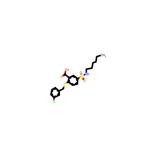 CCCCCCNS(=O)(=O)c1ccc(SCc2cccc(Cl)c2)c(C(=O)O)c1